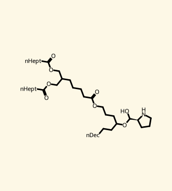 CCCCCCCCCCCCC(CCCOC(=O)CCCCC(COC(=O)CCCCCCC)COC(=O)CCCCCCC)OC(O)[C@@H]1CCCN1